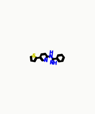 N=C(Nc1ccc(-c2cccs2)cn1)c1ccccc1